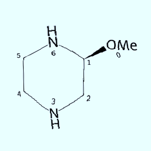 CO[C@H]1CNCCN1